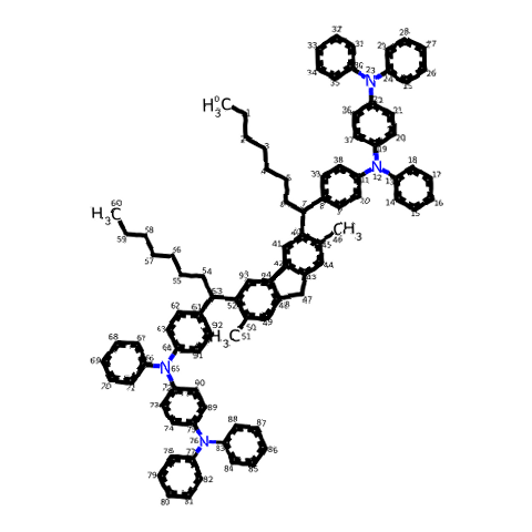 CCCCCCCC(c1ccc(N(c2ccccc2)c2ccc(N(c3ccccc3)c3ccccc3)cc2)cc1)c1cc2c(cc1C)Cc1cc(C)c(C(CCCCCCC)c3ccc(N(c4ccccc4)c4ccc(N(c5ccccc5)c5ccccc5)cc4)cc3)cc1-2